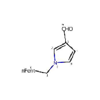 CCCCCCn1ccc(C=O)c1